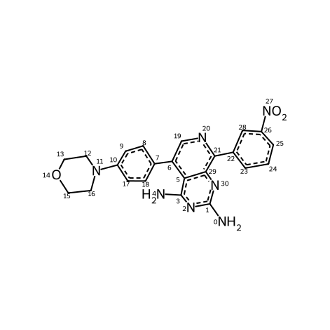 Nc1nc(N)c2c(-c3ccc(N4CCOCC4)cc3)cnc(-c3cccc([N+](=O)[O-])c3)c2n1